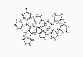 Cc1ccc2c(c1)c1ccccc1n2-c1cc([Si](c2ccccc2)(c2ccccc2)c2ccc3c(c2)-c2ccccc2-c2ccccc2-c2ccccc2-3)cc2c1sc1ccccc12